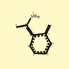 C=c1cccc/c1=C(\C)SC